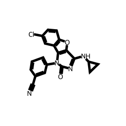 N#Cc1cccc(-n2c(=O)nc(NC3CC3)c3oc4ccc(Cl)cc4c32)c1